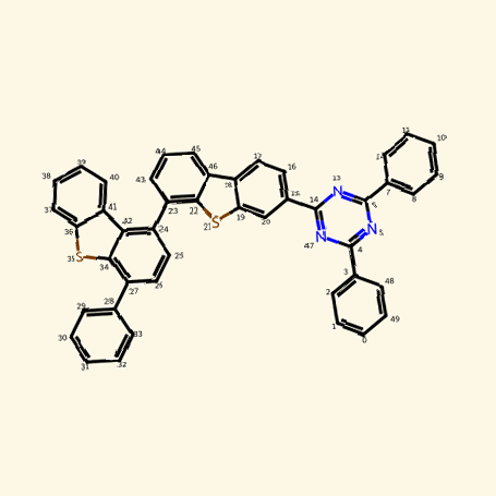 c1ccc(-c2nc(-c3ccccc3)nc(-c3ccc4c(c3)sc3c(-c5ccc(-c6ccccc6)c6sc7ccccc7c56)cccc34)n2)cc1